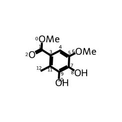 COC(=O)c1cc(OC)c(O)c(O)c1C